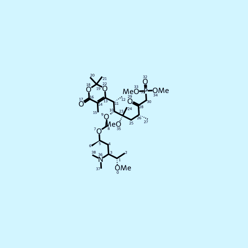 CO[C@@H](C)C(C[C@@H](C)OCO[C@H]([C@@H](C)C1=C(C)C(=O)OC(C)(C)O1)[C@@](C)(C[C@@H](C)C(=O)CP(=O)(OC)OC)OC)N(C)C